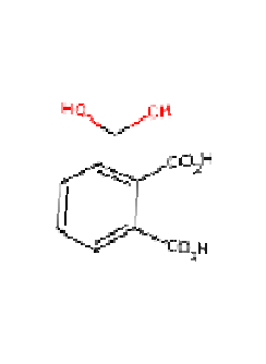 O=C(O)c1ccccc1C(=O)O.OCO